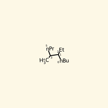 CCCCC(CC)C(C)CCC